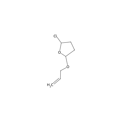 C=CCOC1CCC(Cl)O1